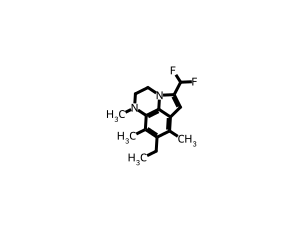 CCc1c(C)c2c3c(cc(C(F)F)n3CCN2C)c1C